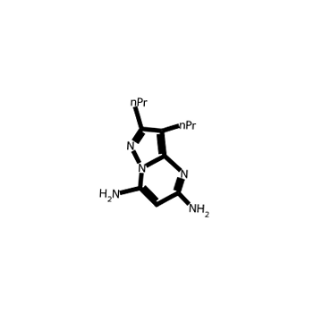 CCCc1nn2c(N)cc(N)nc2c1CCC